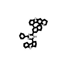 c1ccc(C2=NC(c3cccc4oc5ccccc5c34)NC(c3cc(-c4cccc5oc6cc7cccnc7cc6c45)c4ccccc4c3)=N2)cc1